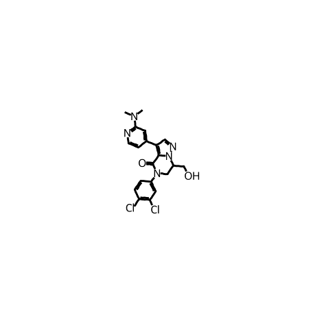 CN(C)c1cc(-c2cnn3c2C(=O)N(c2ccc(Cl)c(Cl)c2)CC3CO)ccn1